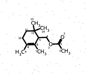 CC(=O)OCC1C(C)=C(C)CCC1(C)C